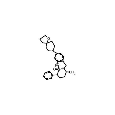 CC1CCC(c2ccccc2)S(=O)(=O)N1Cc1ccc(N2CCC3(CCCO3)CC2)cc1F